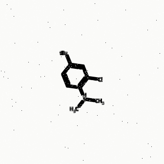 C[SH](C)c1ccc(C(C)(C)C)cc1Cl